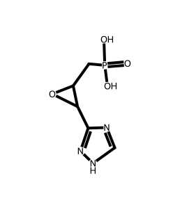 O=P(O)(O)CC1OC1c1nc[nH]n1